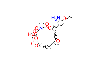 C=CCOC1CCC(C=C(C)C2OC(=O)C3CCCCN3C(=O)C(=O)C3(O)OC(C(OC)CC(C)C/C(C)=C/C(CC)C(=O)CCC2C)C(OC)CC3C)CC1N